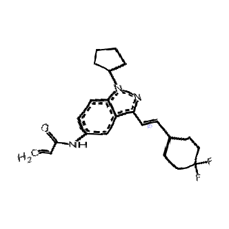 C=CC(=O)Nc1ccc2c(c1)c(/C=C/C1CCC(F)(F)CC1)nn2C1CCCC1